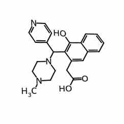 CN1CCN(C(c2ccncc2)c2c(CC(=O)O)cc3ccccc3c2O)CC1